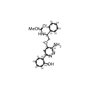 COC(=O)NC(COc1cc(-c2ccccc2O)nnc1N)c1ccccc1